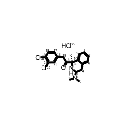 CN(C)C1Cc2ccccc2[C@](C)(C(=O)Cc2ccc(Cl)c(Cl)c2)N1.Cl